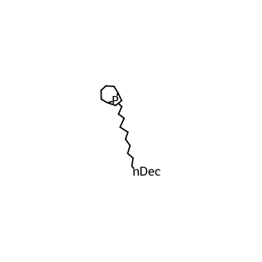 CCCCCCCCCCCCCCCCCCCCP1C2CCCCC1CC2